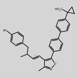 Cc1noc(-c2ccc(-c3ccc(C4(C(=O)O)CC4)cc3)cc2)c1/C=C/C(C)Cc1ccc(C(C)C)cc1